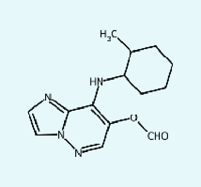 CC1CCCCC1Nc1c(OC=O)cnn2ccnc12